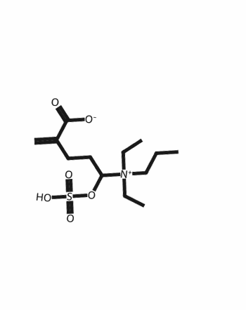 C=C(CCC(OS(=O)(=O)O)[N+](CC)(CC)CCC)C(=O)[O-]